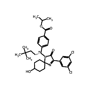 CC(C)OC(=O)c1ccc([C@@H](CCC(C)(C)C)N2C(=O)C(c3cc(Cl)cc(Cl)c3)=NC23CCC(O)CC3)cc1